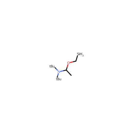 CC(OC[SiH3])N(C(C)(C)C)C(C)(C)C